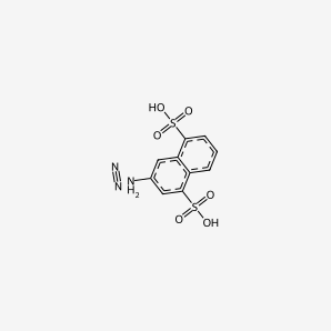 N#N.Nc1cc(S(=O)(=O)O)c2cccc(S(=O)(=O)O)c2c1